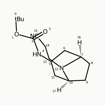 CC(C)(C)OC(=O)NC1C[C@H]2CC[C@@H](C1)N2CCC#N